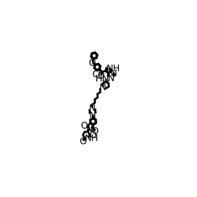 O=C1CCC(N2C(=O)c3ccc(N4CCN(CCCCCCCN5CCC[C@@H](Nc6ncnc7[nH]cc(C(=O)c8ccc(Oc9ccccc9)cc8Cl)c67)C5)CC4)cc3C2=O)C(=O)N1